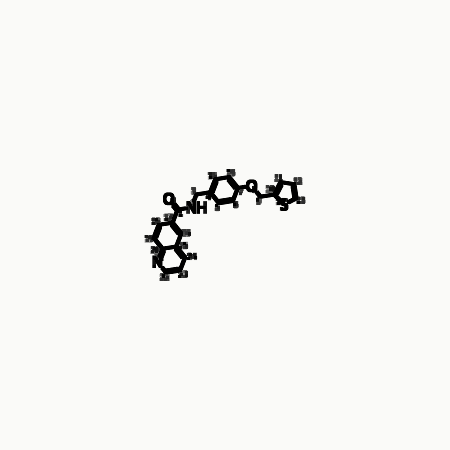 O=C(NCc1ccc(OCc2cccs2)cc1)c1ccc2ncccc2c1